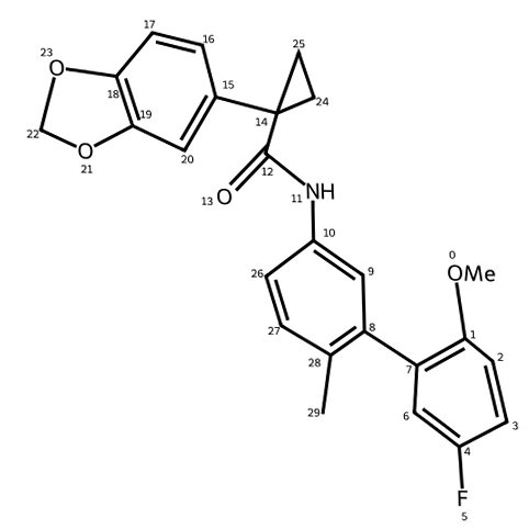 COc1ccc(F)cc1-c1cc(NC(=O)C2(c3ccc4c(c3)OCO4)CC2)ccc1C